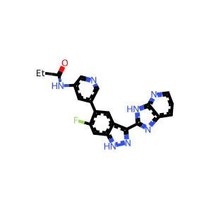 CCC(=O)Nc1cncc(-c2cc3c(-c4nc5cccnc5[nH]4)n[nH]c3cc2F)c1